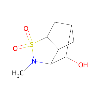 CN1C2C(O)C3CC2C(C3)S1(=O)=O